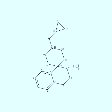 Cl.c1ccc2c(c1)CCCC21CCN(CC2CC2)CC1